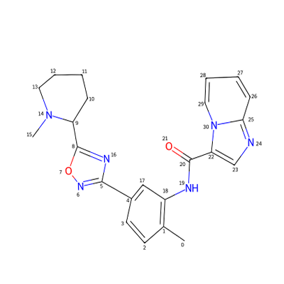 Cc1ccc(-c2noc(C3CCCCN3C)n2)cc1NC(=O)c1cnc2ccccn12